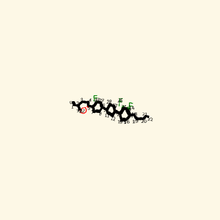 C=CC1CCC(c2ccc(-c3ccc(-c4ccc(C/C=C\CC)c(F)c4F)cc3)cc2F)OC1